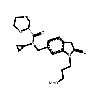 COCCCN1C(=O)Cc2ccc(CN(C(=O)[C@H]3CNCCO3)C3CC3)cc21